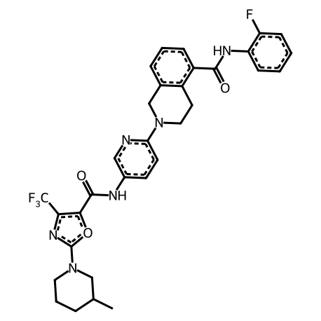 CC1CCCN(c2nc(C(F)(F)F)c(C(=O)Nc3ccc(N4CCc5c(cccc5C(=O)Nc5ccccc5F)C4)nc3)o2)C1